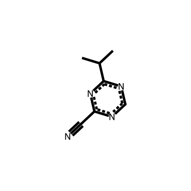 CC(C)c1ncnc(C#N)n1